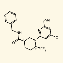 CSc1nc(Cl)cc(N2C[C@H](C(=O)NCc3ccccc3)CC[C@@H]2C(F)(F)F)n1